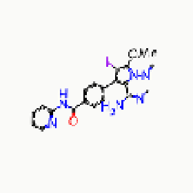 C=Nn1c(OC)c(I)c(-c2ccc(C(=O)Nc3ccccn3)cc2)c1/C(N)=N\C